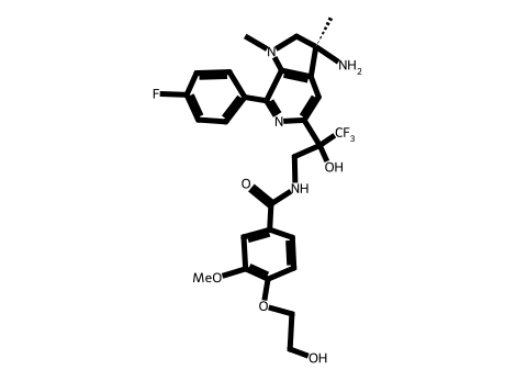 COc1cc(C(=O)NCC(O)(c2cc3c(c(-c4ccc(F)cc4)n2)N(C)C[C@@]3(C)N)C(F)(F)F)ccc1OCCO